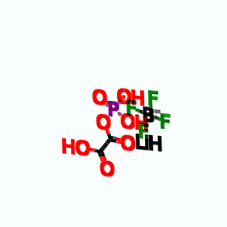 F[B-](F)(F)F.O=C(O)C(=O)OP(=O)(O)O.[LiH]